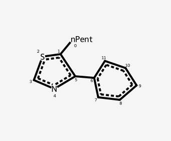 CCCCCc1scnc1-c1ccccc1